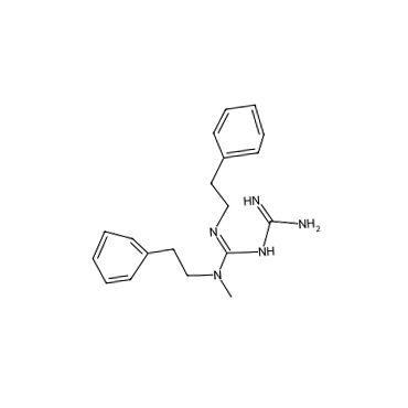 CN(CCc1ccccc1)C(=NCCc1ccccc1)NC(=N)N